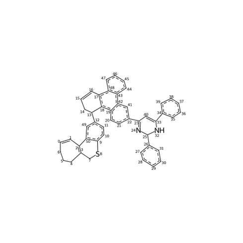 C1=CC2=C(CCC1)CSc1ccc(C3CC=Cc4c3c3ccc(C5=NC(c6ccccc6)NC(c6ccccc6)=C5)cc3c3ccccc43)cc12